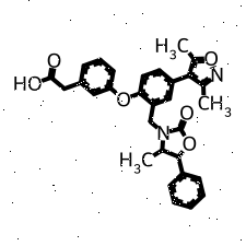 Cc1noc(C)c1-c1ccc(Oc2cccc(CC(=O)O)c2)c(CN2C(=O)OC(c3ccccc3)C2C)c1